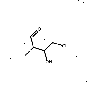 CC(C=O)C(O)CCl